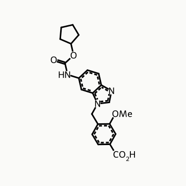 COc1cc(C(=O)O)ccc1Cn1cnc2ccc(NC(=O)OC3CCCC3)cc21